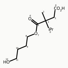 CC(C)C(C)(CC(=O)O)C(=O)OCCCCO